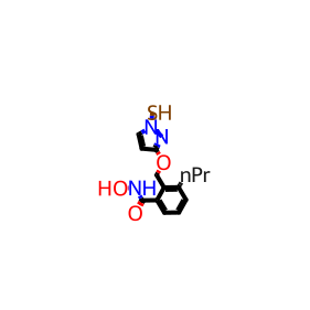 CCCc1cccc(C(=O)NO)c1COc1ccn(S)n1